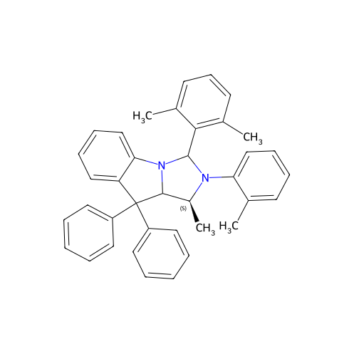 Cc1ccccc1N1C(c2c(C)cccc2C)N2c3ccccc3C(c3ccccc3)(c3ccccc3)C2[C@@H]1C